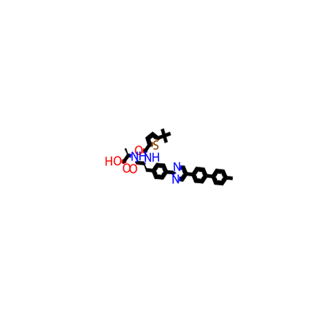 Cc1ccc(-c2ccc(-c3cnc(-c4ccc(C[C@H](NC(=O)c5ccc(C(C)(C)C)s5)C(=O)N[C@H](C)C(=O)O)cc4)nc3)cc2)cc1